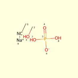 CC#N.CO.O=P([O-])(O)O.[Na+]